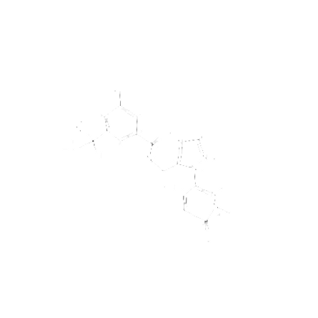 C[C@H](NC(=O)c1cc(C(F)(F)F)cc(C(C)(C)C#N)c1)c1ncnn1-c1ccc(=O)n(C)n1